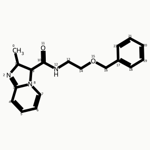 CC1N=C2C=CC=CN2C1C(=O)NCCOCc1ccccc1